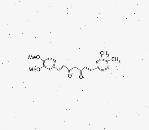 COc1ccc(/C=C/C(=O)CC(=O)/C=C/c2ccc(C)c(C)c2)cc1OC